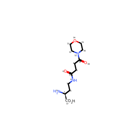 N[C@@H](CCNC(=O)CCC(=O)N1CCOCC1)C(=O)O